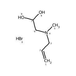 Br.C=CCN(C)CC(O)O